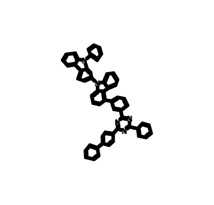 c1ccc(-c2ccc(-c3nc(-c4ccccc4)nc(-c4cccc(-c5cccc6c5c5ccccc5n6-c5ccc6c7ccccc7n(-c7ccccc7)c6c5)c4)n3)cc2)cc1